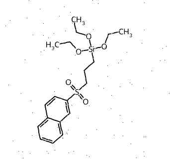 CCO[Si](CCCS(=O)(=O)c1ccc2ccccc2c1)(OCC)OCC